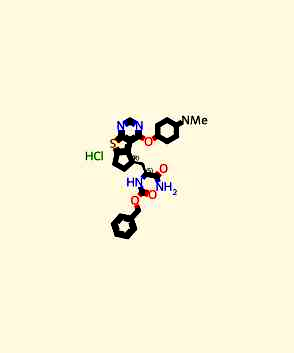 CNC1CCC(Oc2ncnc3sc4c(c23)[C@@H](C[C@H](NC(=O)OCc2ccccc2)C(N)=O)CC4)CC1.Cl